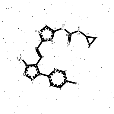 Cc1onc(-c2ccc(F)cn2)c1/C=C/c1ncc(OC(=O)NC2CC2)s1